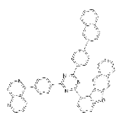 c1ccc2cc(-c3ccc(-c4nc(-c5ccc(-c6nccc7ncccc67)cc5)nc(-c5cccc6oc7cc8ccccc8cc7c56)n4)cc3)ccc2c1